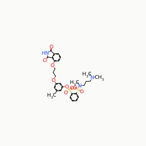 Cc1cc(OCCCOc2cccc3c2C(=O)NC3=O)cc(OS(=O)(=O)c2ccccc2S(=O)(=O)N(C)CCCN(C)C)c1